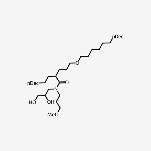 CCCCCCCCCCCCCCCCOCCCC(CCCCCCCCCCCC)C(=O)N(CCCOC)CC(O)CO